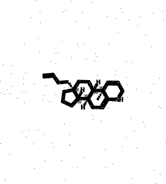 C=CCC[C@@]12CCC[C@H]1[C@@H]1CC=C3NCC=C[C@]3(C)[C@H]1CC2